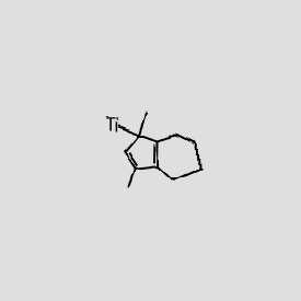 CC1=C[C](C)([Ti])C2=C1CCCC2